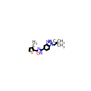 Cc1ccsc1-c1nc(-c2ccc3c(c2)nnn3CC(C)(C)C)no1